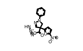 O=C(O)C1(c2ccc([N+](=O)[O-])o2)C=NN(c2ccccc2)C1.[N-]=[N+]=N